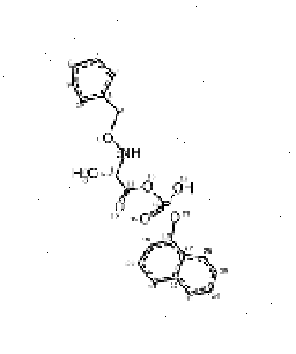 C[C@H](NOCc1ccccc1)C(=O)OP(=O)(O)Oc1cccc2ccccc12